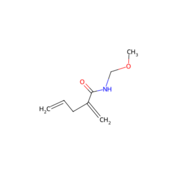 C=CCC(=C)C(=O)NCOC